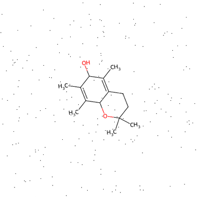 CC1=C(C)C2OC(C)(C)CCC2=C(C)C1O